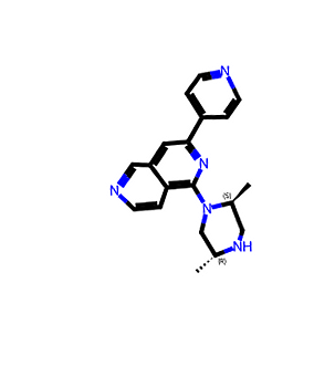 C[C@@H]1CN(c2nc(-c3ccncc3)cc3cnccc23)[C@@H](C)CN1